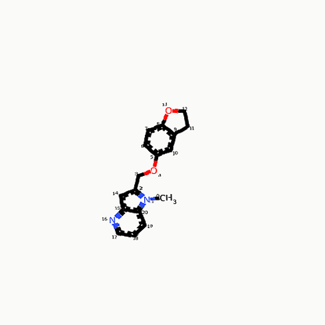 Cn1c(COc2ccc3c(c2)CCO3)cc2ncccc21